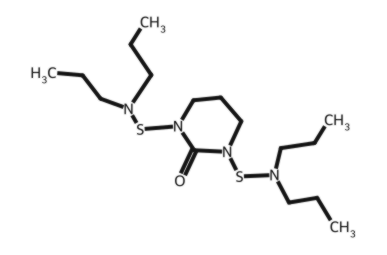 CCCN(CCC)SN1CCCN(SN(CCC)CCC)C1=O